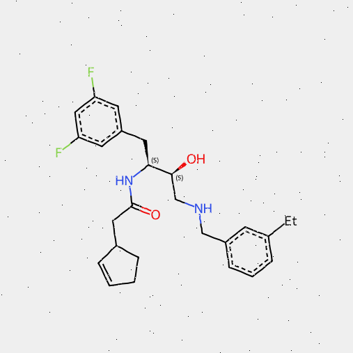 CCc1cccc(CNC[C@H](O)[C@H](Cc2cc(F)cc(F)c2)NC(=O)CC2C=CCC2)c1